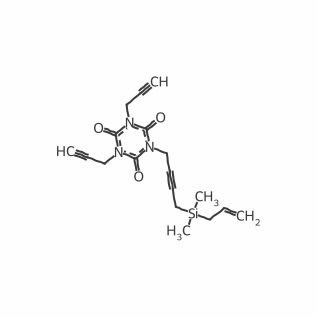 C#CCn1c(=O)n(CC#C)c(=O)n(CC#CC[Si](C)(C)CC=C)c1=O